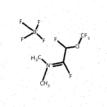 C[N+](C)=C(F)C(F)OC(F)(F)F.F[B-](F)(F)F